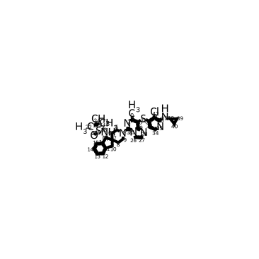 Cc1nc(N2CCC3(CC2)Cc2ccccc2[C@H]3N[S+]([O-])C(C)(C)C)n2ccnc2c1Sc1ccnc(NC2CC2)c1Cl